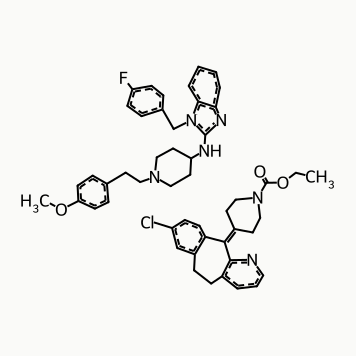 CCOC(=O)N1CCC(=C2c3ccc(Cl)cc3CCc3cccnc32)CC1.COc1ccc(CCN2CCC(Nc3nc4ccccc4n3Cc3ccc(F)cc3)CC2)cc1